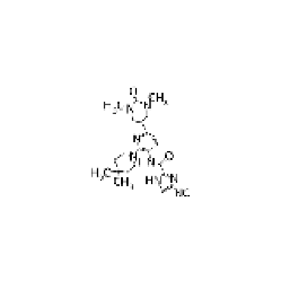 [C-]#[N+]c1c[nH]c(C(=O)Nc2ccc(C3CN(C)C(=O)N(C)C3)nc2N2CCC(C)(C)CC2)n1